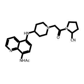 CC(=O)Nc1ccc(NC2CCN(CC(=O)N3CCCC3C#N)CC2)c2cccnc12